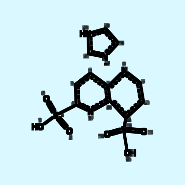 O=S(=O)(O)c1ccc2nccc(S(=O)(=O)O)c2n1.c1c[nH]cn1